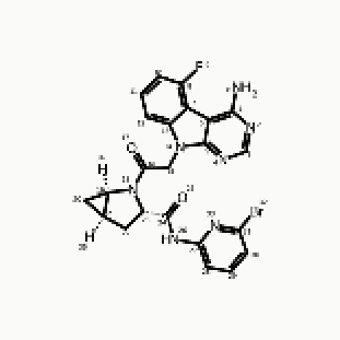 Nc1ncnc2c1c1c(F)cccc1n2CC(=O)N1[C@@H]2C[C@@H]2C[C@H]1C(=O)Nc1cccc(Br)n1